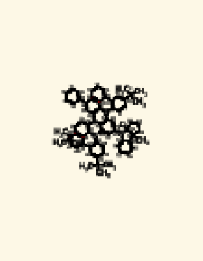 CC(C)(C)c1ccc(N2c3ccc(-c4ccccc4)cc3B3c4ccc(C(C)(C)C)cc4N(c4ccc(C(C)(C)C)cc4-c4ccccc4)c4cc(N5c6ccccc6C6(C)CCCC56C)cc2c43)c(-c2ccccc2)c1